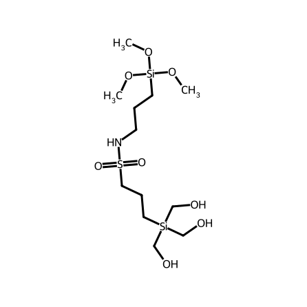 CO[Si](CCCNS(=O)(=O)CCC[Si](CO)(CO)CO)(OC)OC